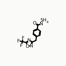 O=C(N=[SH4])c1ccc(Cc2noc(C(F)(F)F)n2)cc1